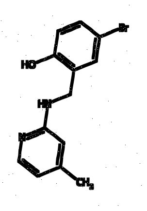 Cc1ccnc(NCc2cc(Br)ccc2O)c1